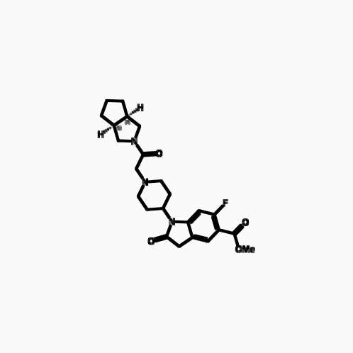 COC(=O)c1cc2c(cc1F)N(C1CCN(CC(=O)N3C[C@H]4CCC[C@H]4C3)CC1)C(=O)C2